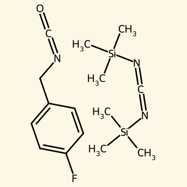 C[Si](C)(C)N=C=N[Si](C)(C)C.O=C=NCc1ccc(F)cc1